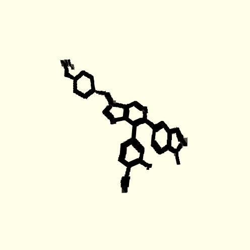 Cn1ncc2cc(-c3ncc4c(ncn4C[C@H]4CC[C@H](CN)CC4)c3-c3ccc(C#N)c(F)c3)ccc21